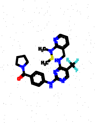 CSN(C)c1ncccc1CNc1nc(Nc2ccc(C(=O)N3CCCC3)cc2)ncc1C(F)(F)F